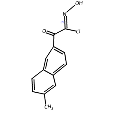 Cc1ccc2cc(C(=O)/C(Cl)=N/O)ccc2c1